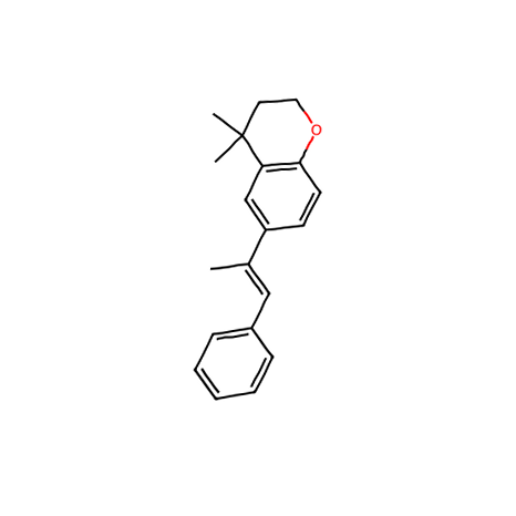 CC(=Cc1ccccc1)c1ccc2c(c1)C(C)(C)CCO2